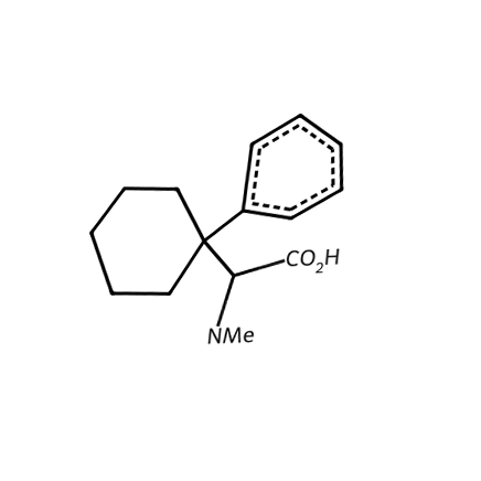 CNC(C(=O)O)C1(c2ccccc2)CCCCC1